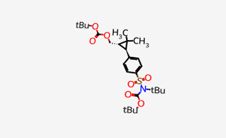 CC(C)(C)OC(=O)OC[C@H]1[C@H](c2ccc(S(=O)(=O)N(C(=O)OC(C)(C)C)C(C)(C)C)cc2)C1(C)C